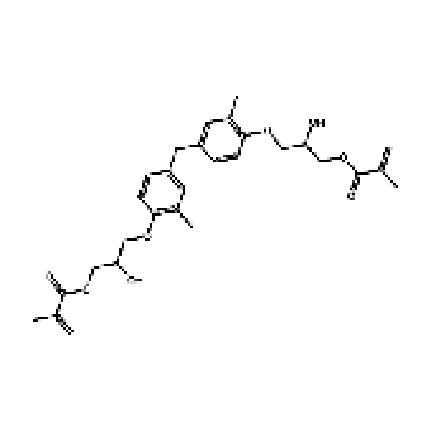 C=C(C)C(=O)OCC(O)COc1ccc(Cc2ccc(OCC(O)COC(=O)C(=C)C)c(C)c2)cc1C